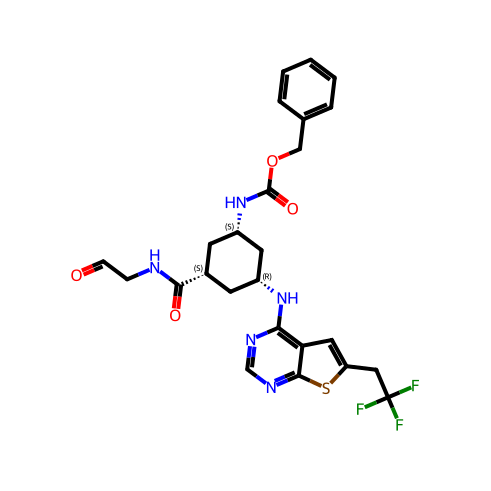 O=CCNC(=O)[C@@H]1C[C@H](NC(=O)OCc2ccccc2)C[C@H](Nc2ncnc3sc(CC(F)(F)F)cc23)C1